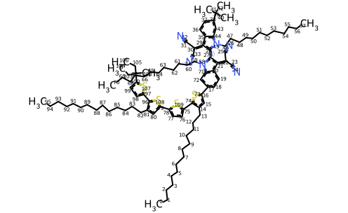 CCCCCCCCCCCCCCc1cc(-c2ccc3c(=C(C#N)C#N)/c(=c4/c(=C(C#N)C#N)c5ccc(C(C)(C)C)cc5n4CCCCCCCCCCCC)n(CCCCCCCCCCCC)c3c2)sc1-c1ccc(-c2cc(CCCCCCCCCCCCCC)c(-c3ccc(C(C)(CC)CC)s3)s2)s1